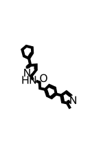 Cc1cc(-c2ccc(CC(=O)Nc3ccc(C4=CCCCC4)cn3)cc2)ccn1